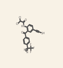 O=C(c1ccc(C2(C(F)(F)F)N=N2)cc1)c1cc(C#CS)ccc1NC(=O)C(Cl)Cl